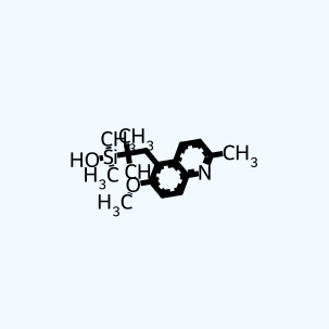 COc1ccc2nc(C)ccc2c1CC(C)(C)[Si](C)(C)O